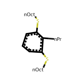 [CH2]CCc1c(SCCCCCCCC)cccc1SCCCCCCCC